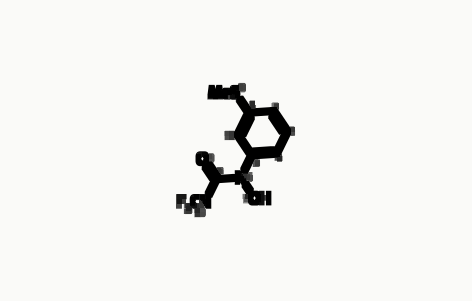 CSc1cccc(N(O)C(=O)NC(F)(F)F)c1